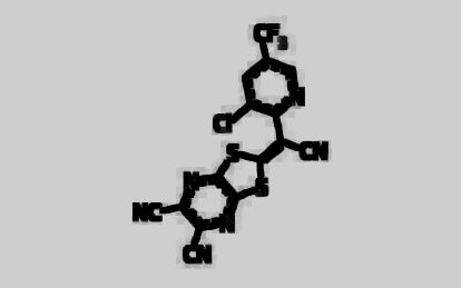 N#CC(=C1Sc2nc(C#N)c(C#N)nc2S1)c1ncc(C(F)(F)F)cc1Cl